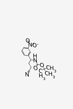 CC(C)(C)OC(=O)NC(CCC#N)c1cccc([N+](=O)[O-])c1